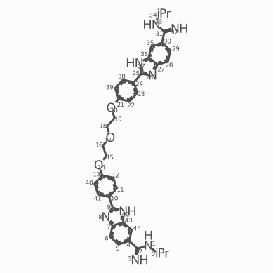 CC(C)NC(=N)c1ccc2nc(-c3ccc(OCCOCCOc4ccc(-c5nc6ccc(C(=N)NC(C)C)cc6[nH]5)cc4)cc3)[nH]c2c1